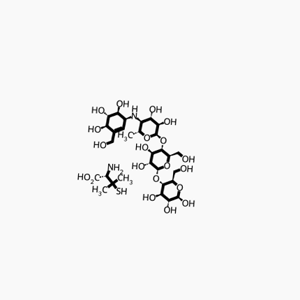 CC(C)(S)[C@@H](N)C(=O)O.C[C@H]1O[C@H](O[C@H]2[C@H](O)[C@@H](O)[C@@H](O[C@H]3[C@H](O)[C@@H](O)[C@H](O)O[C@@H]3CO)O[C@@H]2CO)[C@H](O)[C@@H](O)[C@@H]1N[C@H]1C=C(CO)[C@@H](O)[C@H](O)[C@H]1O